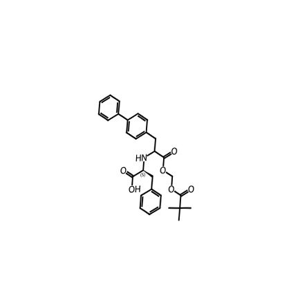 CC(C)(C)C(=O)OCOC(=O)C(Cc1ccc(-c2ccccc2)cc1)N[C@@H](Cc1ccccc1)C(=O)O